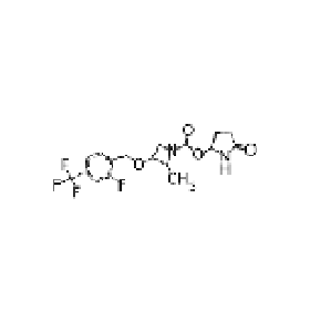 CC1C(OCc2ccc(C(F)(F)F)cc2F)CN1C(=O)OC1CCC(=O)N1